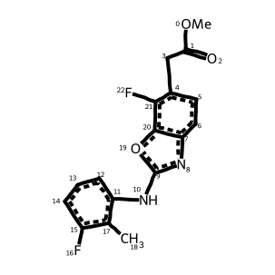 COC(=O)Cc1ccc2nc(Nc3cccc(F)c3C)oc2c1F